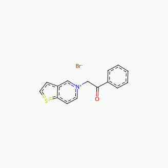 O=C(C[n+]1ccc2sccc2c1)c1ccccc1.[Br-]